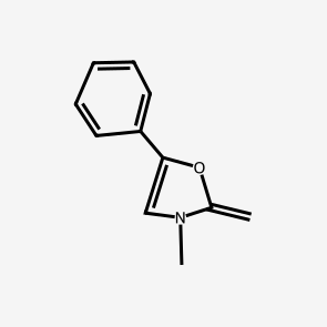 C=C1OC(c2ccccc2)=CN1C